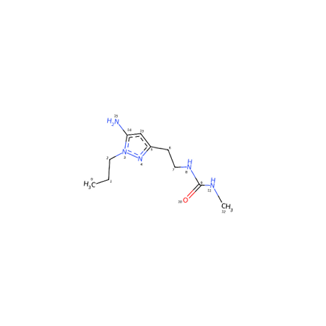 CCCn1nc(CCNC(=O)NC)cc1N